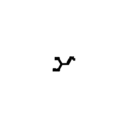 C=CC(O)OC